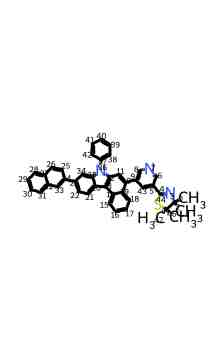 CC1(C)N=C(c2cncc(-c3cc4c(c5ccccc35)c3ccc(-c5ccc6ccccc6c5)cc3n4-c3ccccc3)c2)SC1(C)C